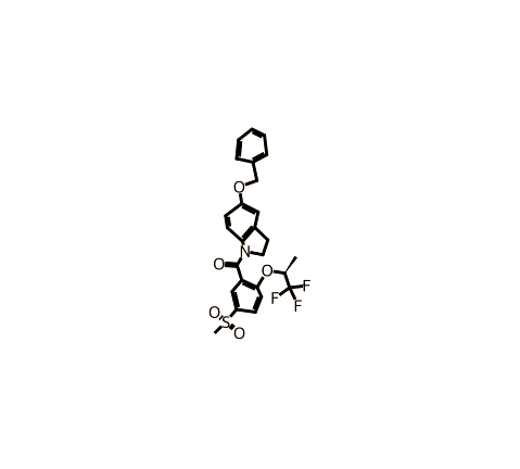 C[C@H](Oc1ccc(S(C)(=O)=O)cc1C(=O)N1CCc2cc(OCc3ccccc3)ccc21)C(F)(F)F